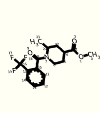 COC(=O)C1CCN(C(=O)c2ccccc2C(F)(F)F)C(C)C1